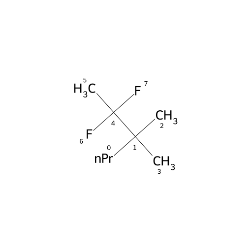 CCCC(C)(C)C(C)(F)F